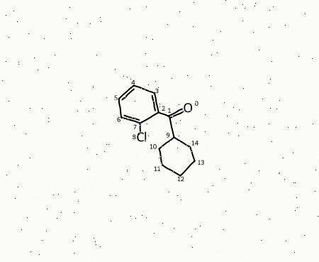 O=C(c1ccccc1Cl)C1CCCCC1